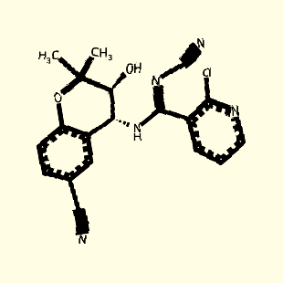 CC1(C)Oc2ccc(C#N)cc2[C@@H](NC(=NC#N)c2cccnc2Cl)[C@@H]1O